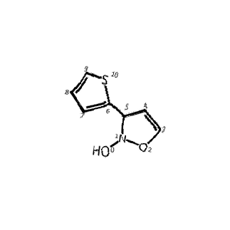 ON1OC=CC1c1cccs1